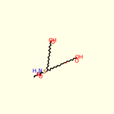 C=CCOC(=O)[C@@H](N)CSCC(CCCCCCCCCCCCCCCCC(=O)O)CCCCCCCCCCCCCCCC(=O)O